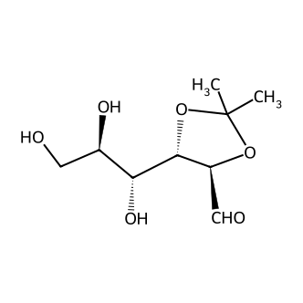 CC1(C)O[C@@H]([C@H](O)[C@H](O)CO)[C@H](C=O)O1